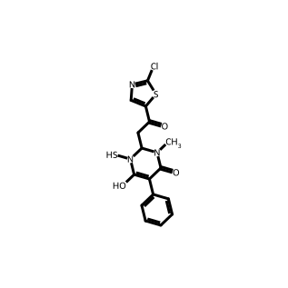 CN1C(=O)C(c2ccccc2)=C(O)N(S)C1CC(=O)c1cnc(Cl)s1